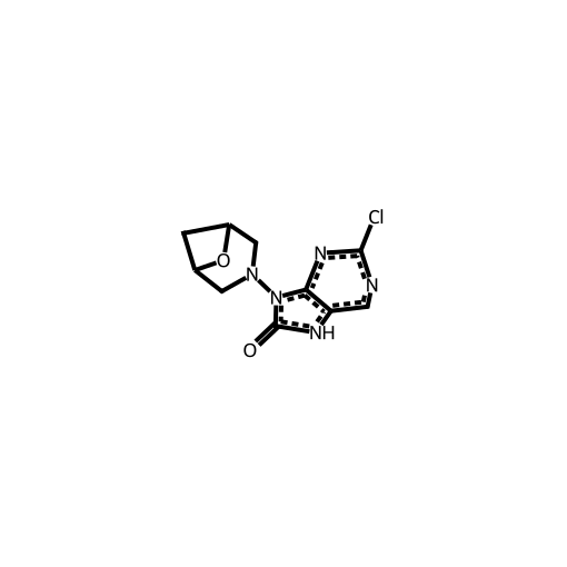 O=c1[nH]c2cnc(Cl)nc2n1N1CC2CC(C1)O2